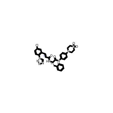 O=C(/C=C/c1cc(Cl)ccc1-n1cnnn1)N[C@@H](Cc1ccccc1)C(=O)Nc1ccc(N2CCS(=O)(=O)CC2)cc1